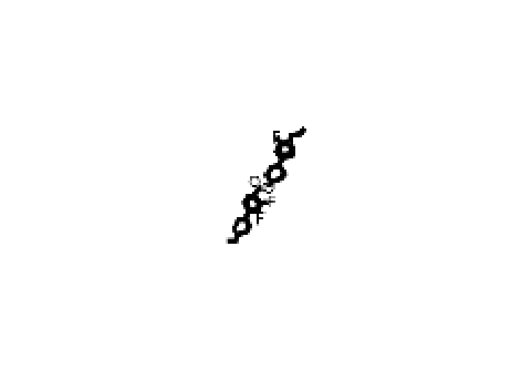 CCCc1ccc(C2CCC(OC(=O)c3ccc(C4CCC(CC)CC4)c(F)c3F)CC2)cc1F